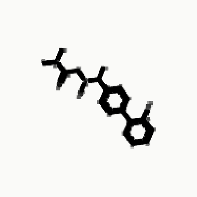 CC(c1ccc(-c2ccccc2F)cc1)[S+]([O-])CC(=O)N(C)C